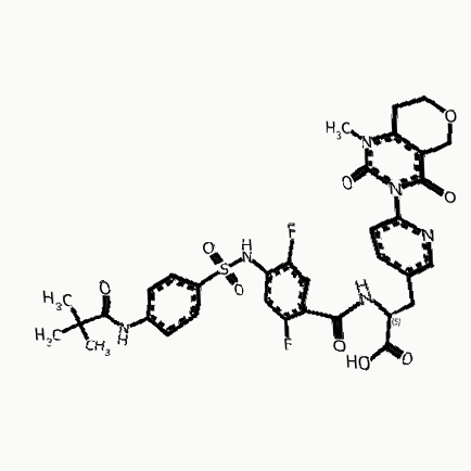 Cn1c2c(c(=O)n(-c3ccc(C[C@H](NC(=O)c4cc(F)c(NS(=O)(=O)c5ccc(NC(=O)C(C)(C)C)cc5)cc4F)C(=O)O)cn3)c1=O)COCC2